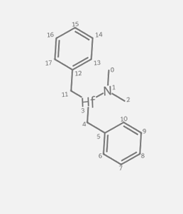 C[N](C)[Hf]([CH2]c1ccccc1)[CH2]c1ccccc1